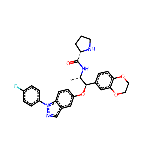 C[C@H](NC(=O)[C@@H]1CCCN1)[C@H](Oc1ccc2c(cnn2-c2ccc(F)cc2)c1)c1ccc2c(c1)OCCO2